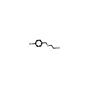 CC(C)c1ccc(COCCO)cc1